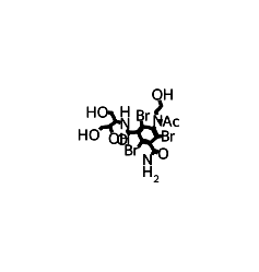 CC(=O)N(CCO)c1c(Br)c(C(N)=O)c(Br)c(C(=O)NC(CO)C(O)CO)c1Br